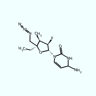 CC[C@@]1(CN=[N+]=[N-])O[C@@H](N2C=CC(N)NC2=O)[C@H](F)[C@@H]1C